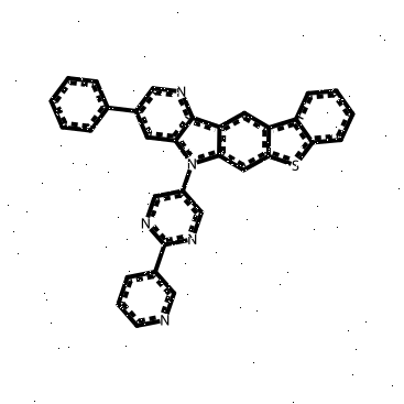 c1ccc(-c2cnc3c4cc5c(cc4n(-c4cnc(-c6cccnc6)nc4)c3c2)sc2ccccc25)cc1